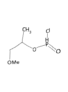 COCC(C)O[PH](=O)Cl